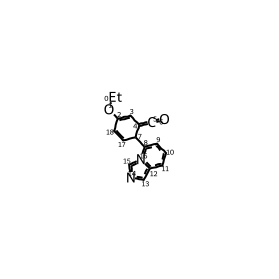 CCOC1=CC(=C=O)C(c2cccc3cncn23)C=C1